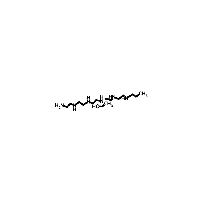 CCCNCCNCCNCCNCCNCCN.CCO